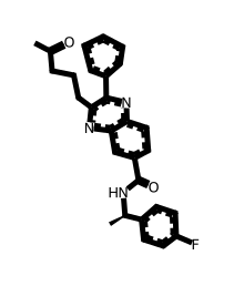 CC(=O)CCCc1nc2cc(C(=O)N[C@H](C)c3ccc(F)cc3)ccc2nc1-c1ccccc1